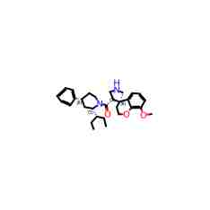 CCC(CC)[C@@H]1C[C@H](c2ccccc2)CCN1C(=O)[C@@H]1CNC[C@]12CCOc1c(OC)cccc12